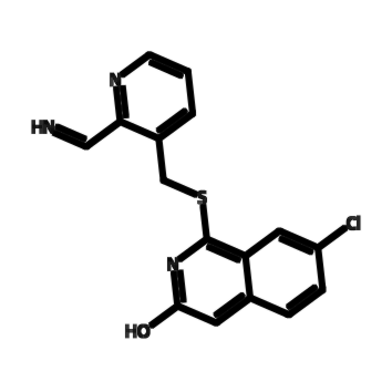 N=Cc1ncccc1CSc1nc(O)cc2ccc(Cl)cc12